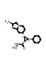 O=C(NO)[C@@H]1[C@H](c2ccccc2)[C@H]1c1ccn2cc(C(F)(F)F)nc2c1